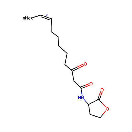 CCCCCC/C=C\CCCCCC(=O)CC(=O)NC1CCOC1=O